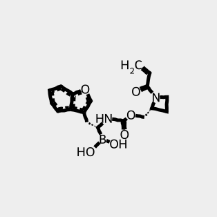 C=CC(=O)N1CC[C@@H]1COC(=O)N[C@@H](Cc1coc2ccccc12)B(O)O